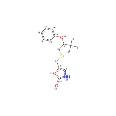 CC(C)(C)C(CSCc1c[nH]c(=O)o1)Oc1ccccc1